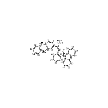 Fc1ccc(/C=C/C[P+](c2ccccc2)(c2ccccc2)c2ccccc2)cc1Oc1ccccc1.[Cl-]